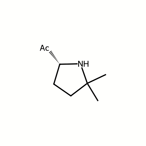 CC(=O)[C@H]1CCC(C)(C)N1